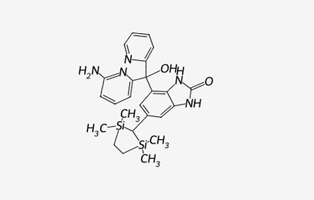 C[Si]1(C)CC[Si](C)(C)C1c1cc(C(O)(c2ccccn2)c2cccc(N)n2)c2[nH]c(=O)[nH]c2c1